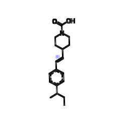 CCC(C)c1ccc(/C=C/C2CCN(C(=O)O)CC2)cc1